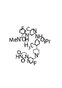 CNC(=O)c1ccccc1Nc1cc(Nc2cc(C)c(C3CCN(Cc4cc(N5CCC(=O)NC5=O)ncc4F)CC3)cc2OC(C)C)ncc1C(F)(F)F